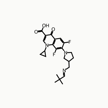 CC(C)(C)C=NCC1CCN(c2c(F)cc3c(=O)c(C(=O)O)cn(C4CC4)c3c2F)C1